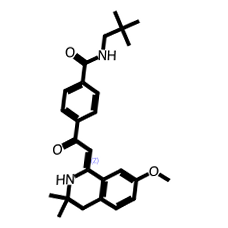 COc1ccc2c(c1)/C(=C/C(=O)c1ccc(C(=O)NCC(C)(C)C)cc1)NC(C)(C)C2